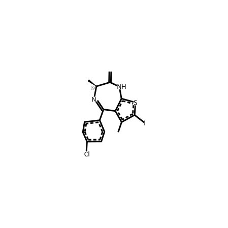 C=C1Nc2sc(I)c(C)c2C(c2ccc(Cl)cc2)=N[C@H]1C